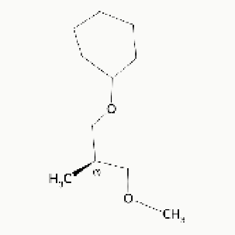 COC[C@@H](C)COC1CCCCC1